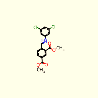 COC(=O)c1ccc(/C=N/c2cc(Cl)cc(Cl)c2)c(C(=O)OC)c1